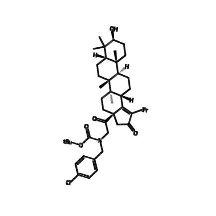 CC(C)C1=C2[C@H]3CC[C@@H]4[C@@]5(C)CC[C@H](O)C(C)(C)[C@H]5CC[C@@]4(C)[C@]3(C)CC[C@@]2(C(=O)CN(Cc2ccc(Cl)cc2)C(=O)OC(C)(C)C)CC1=O